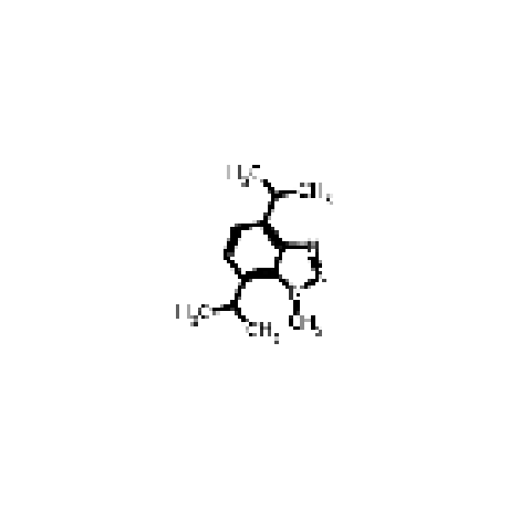 CC(C)c1ccc(C(C)C)c2c1nnn2C